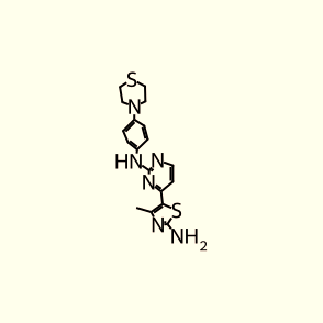 Cc1nc(N)sc1-c1ccnc(Nc2ccc(N3CCSCC3)cc2)n1